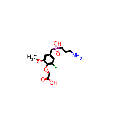 COc1cc(CP(=O)(O)CCCN)cc(F)c1OCC(=O)O